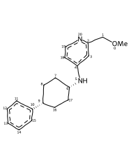 COCc1cc(N[C@H]2CC[C@@H](c3ccccc3)CC2)ccn1